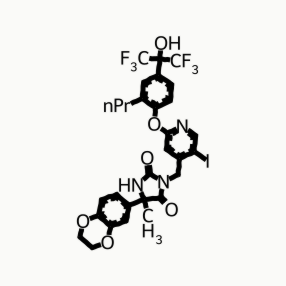 CCCc1cc(C(O)(C(F)(F)F)C(F)(F)F)ccc1Oc1cc(CN2C(=O)NC(C)(c3ccc4c(c3)OCCO4)C2=O)c(I)cn1